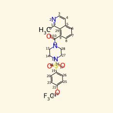 Cc1nccc2cccc(C(=O)N3CCN(S(=O)(=O)c4ccc(OC(F)(F)F)cc4)CC3)c12